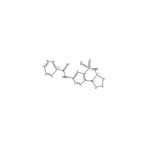 O=C(Nc1ccc2c(c1)S(=O)(=O)NC1CCCN21)c1ccccc1